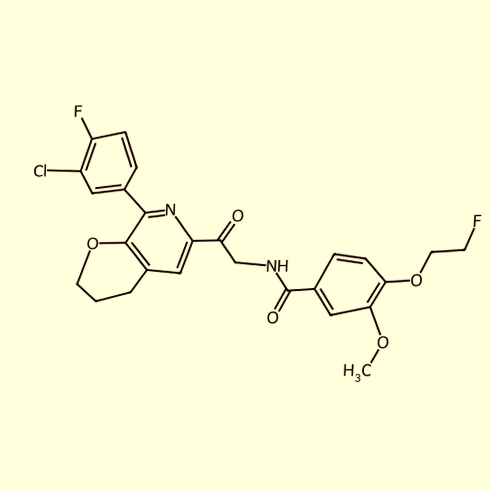 COc1cc(C(=O)NCC(=O)c2cc3c(c(-c4ccc(F)c(Cl)c4)n2)OCCC3)ccc1OCCF